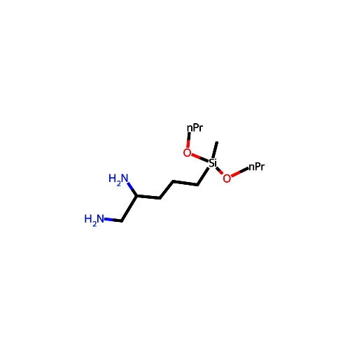 CCCO[Si](C)(CCCC(N)CN)OCCC